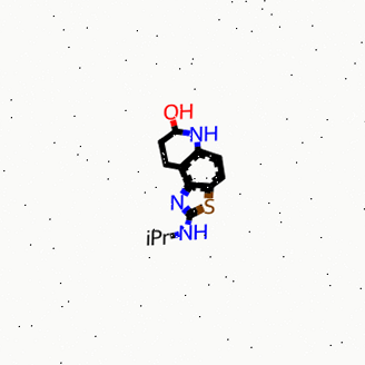 CC(C)Nc1nc2c3c(ccc2s1)NC(O)CC3